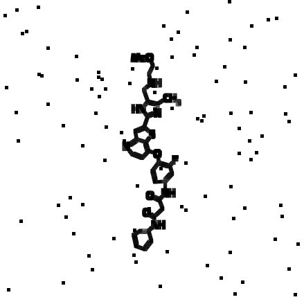 COCCNCc1[nH]c(-c2cc3nccc(Oc4ccc(NC(=O)CC(=O)Nc5ccccc5)cc4F)c3s2)nc1C